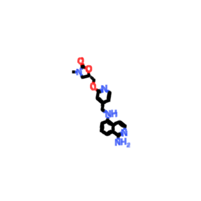 CN1C[C@H](COc2cc(CNc3cccc4c(N)nccc34)ccn2)OC1=O